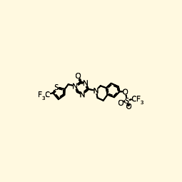 O=c1nc(N2CCc3cc(OS(=O)(=O)C(F)(F)F)ccc3C2)ncn1Cc1ccc(C(F)(F)F)s1